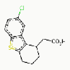 O=C(O)CC1CCCc2sc3ccc(Cl)cc3c21